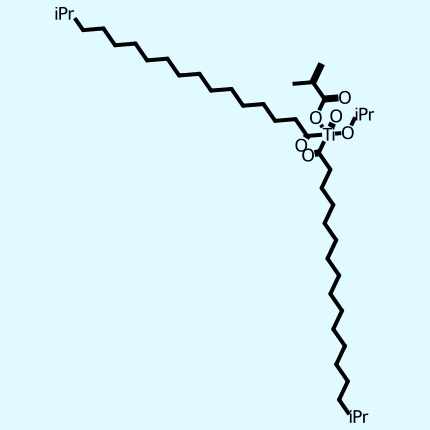 C=C(C)C(=O)[O][Ti](=[O])([O]C(C)C)([C](=O)CCCCCCCCCCCCCCC(C)C)[C](=O)CCCCCCCCCCCCCCC(C)C